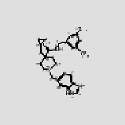 O=C(NCc1cc(C(F)(F)F)cc(C(F)(F)F)c1)C1(CC2CC2)CCN(Cc2ccc3nc[nH]c3c2)CC1